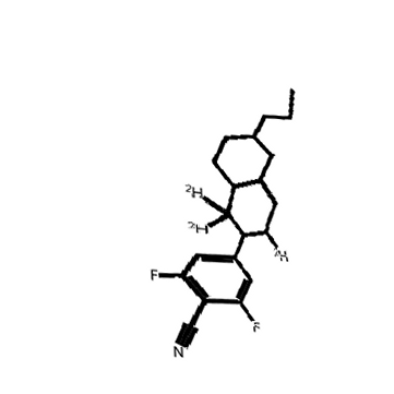 [2H]C1CC2CC(CCC)CCC2C([2H])([2H])C1c1cc(F)c(C#N)c(F)c1